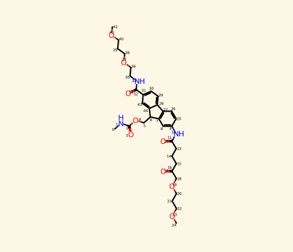 CNC(=O)OCC1c2cc(NC(=O)CCCC(=O)COCCCOC)ccc2-c2ccc(C(=O)NCCOCCCOC)cc21